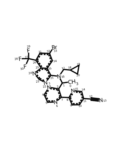 CC(c1nccnc1-c1ccc(C#N)cn1)N(CC1CC1)c1ncnc2c(C(F)(F)F)cc(Br)cc12